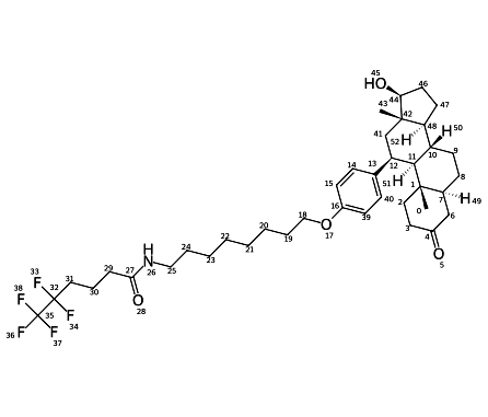 C[C@]12CCC(=O)C[C@@H]1CC[C@@H]1[C@@H]2[C@@H](c2ccc(OCCCCCCCCNC(=O)CCCC(F)(F)C(F)(F)F)cc2)C[C@]2(C)[C@@H](O)CC[C@@H]12